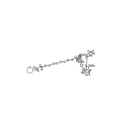 CC/C(C)=C\N1C[C@H](O)N(C(=O)OCc2ccc(NC(=O)[C@H](C)NC(=O)[C@@H](NC(=O)CCOCCOCCOCCOCCOCCOCCOCCOCCNC(=O)CCN3C(=O)CC(C4CCCCCCCCCCCC4)C3=O)C(C)C)cc2)c2cc(OCCCCCOc3cc4c(cc3OC)C(=O)N3C=C(C)C[C@H]3C=N4)c(OC)cc2C1=O